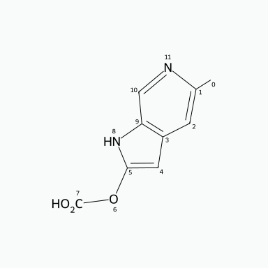 Cc1cc2cc(OC(=O)O)[nH]c2cn1